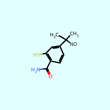 CC(C)(N=O)c1ccc(C(N)=O)c(S)c1